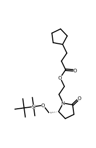 CC(C)(C)[Si](C)(C)OC[C@H]1CCC(=O)N1CCOC(=O)CCC1CCCC1